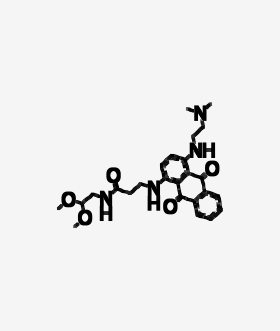 COC(CNC(=O)CCNc1ccc(NCCN(C)C)c2c1C(=O)c1ccccc1C2=O)OC